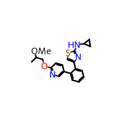 COC(C)COc1ccc(-c2ccccc2-c2csc(NC3CC3)n2)cn1